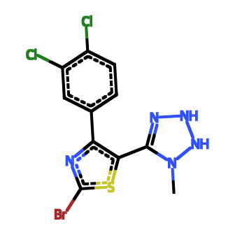 CN1NNN=C1c1sc(Br)nc1-c1ccc(Cl)c(Cl)c1